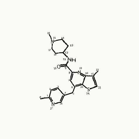 Cc1ccc(Cc2cc(C(=O)NC3CCN(C)CC3)nc3c(C)csc23)cn1